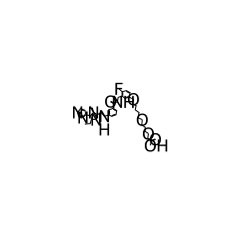 CCC1N=C(CNc2cccc(C(=O)NCc3cc(OCCCCCOCCCOCC(=O)O)ccc3F)c2)N(C)C1c1ccncn1